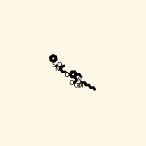 CCCCC=CC(=O)N1CCc2ccc(OCCc3nc(Sc4ccccc4)oc3C)cc2C1C(=O)O